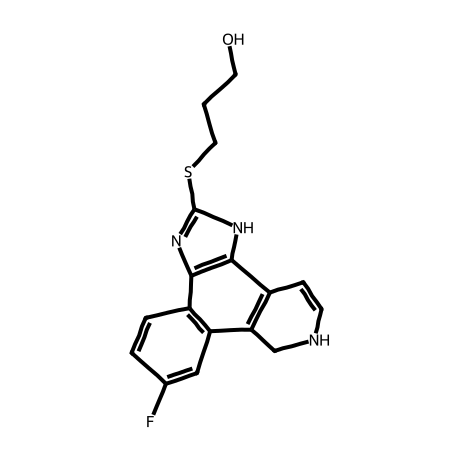 OCCCSc1nc2c([nH]1)c1c(c3cc(F)ccc32)CNC=C1